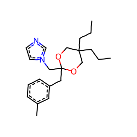 CCCC1(CCC)COC(Cc2cccc(C)c2)(Cn2ccnc2)OC1